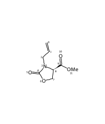 C=CCN1C(=O)OC[C@@H]1C(=O)OC